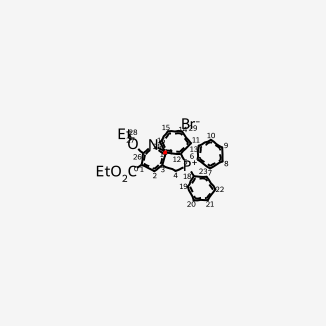 CCOC(=O)c1cc(C[P+](c2ccccc2)(c2ccccc2)c2ccccc2)cnc1OCC.[Br-]